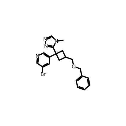 Cn1cnnc1C1(c2cncc(Br)c2)CC(COCc2ccccc2)C1